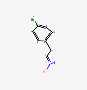 [O-][NH+]=CCc1ccc(Br)cc1